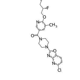 Cc1cc(C(=O)N2CCN(c3nc4nc(Cl)ccc4o3)CC2)cnc1OC[C@H](F)CF